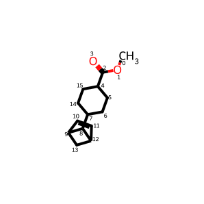 COC(=O)C1CCC(C2C3C=CC2C3)CC1